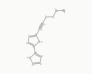 CCOCCC#Cc1ccc(-c2cccs2)s1